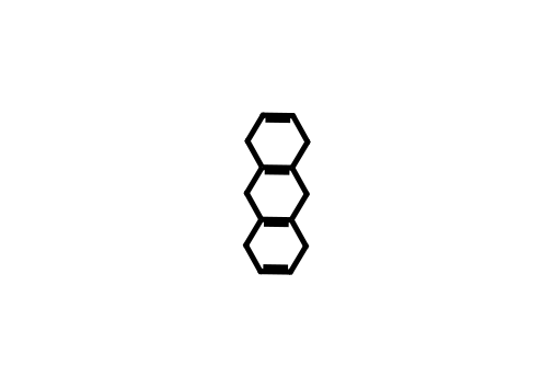 C1=CCC2=C(C1)CC1=C(CC=CC1)C2